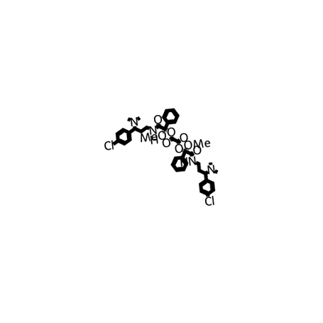 CO[C@](OC(=O)C(=O)O[C@@](OC)(C(=O)NCCC(c1ccc(Cl)cc1)N(C)C)c1ccccc1)(C(=O)NCCC(c1ccc(Cl)cc1)N(C)C)c1ccccc1